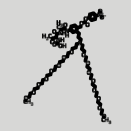 COCCOCCOCCOCCOCCOCCOCCOCCCN(CCCOCCOCCOCCOCCOCCOCCOCCOC)CCCc1cc(NC(=O)[C@H](C)NC(=O)[C@@H](NC(=O)O)C(C)C)ccc1COC(=O)Oc1ccc([N+](=O)[O-])cc1